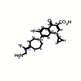 NC/C(F)=C1\CCCN(c2cc3c(cc2F)c(=O)c(C(=O)O)cn3C2CC2)CC1